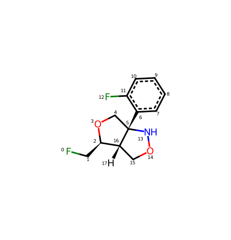 FC[C@H]1OC[C@]2(c3ccccc3F)NOC[C@H]12